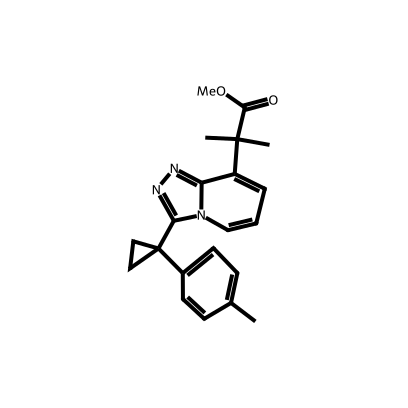 COC(=O)C(C)(C)c1cccn2c(C3(c4ccc(C)cc4)CC3)nnc12